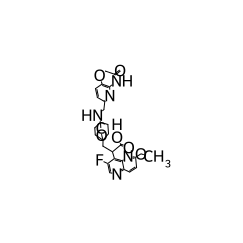 COc1ccc2ncc(F)c(C(CC34CCC(NCc5ccc6c(n5)NC(=O)CO6)(CC3)CO4)C(=O)O)c2n1